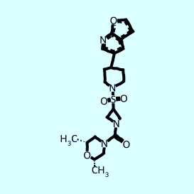 C[C@@H]1CN(C(=O)N2CC(S(=O)(=O)N3CCC(c4cnc5occc5c4)CC3)C2)C[C@H](C)O1